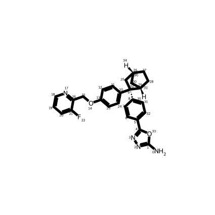 Nc1nnc(-c2ccc([C@]3(c4ccc(OCc5ncccc5F)cc4)C[C@@H]4CC[C@H]3C4)cc2)o1